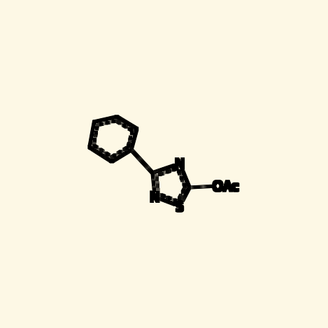 CC(=O)Oc1nc(-c2ccccc2)ns1